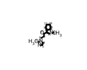 Cc1nccn1CCC(=O)c1cn(C)c2ccccc12